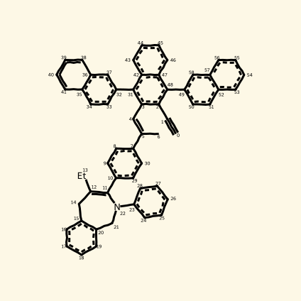 C#Cc1c(/C=C(\C)c2ccc(C3=C(CC)Cc4ccccc4CN3c3ccccc3)cc2)c(-c2ccc3c(c2)C=C=C=C3)c2ccccc2c1-c1ccc2ccccc2c1